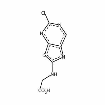 O=C(O)CNc1nc2cnc(Cl)nc2s1